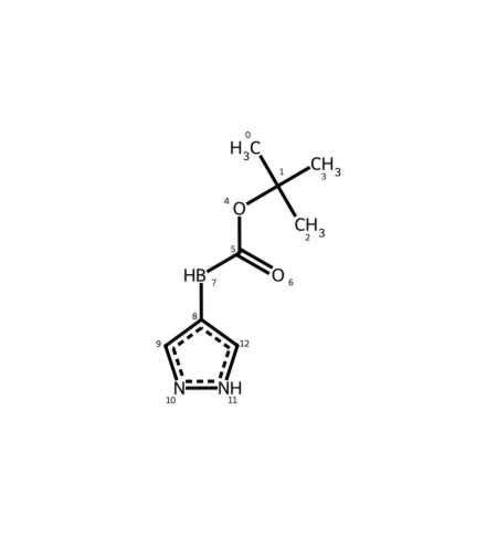 CC(C)(C)OC(=O)Bc1cn[nH]c1